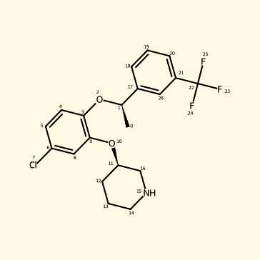 C[C@@H](Oc1ccc(Cl)cc1O[C@@H]1CCCNC1)c1cccc(C(F)(F)F)c1